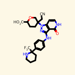 N#CCC1(n2nc(Nc3ccc(C4(C(F)(F)F)CCCCN4)cc3)c3c(=O)[nH]ccc32)CCC(C(=O)O)OC1